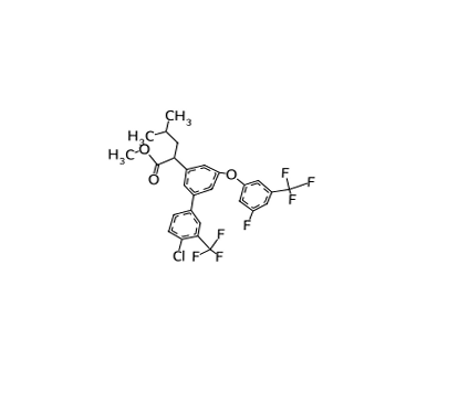 COC(=O)C(CC(C)C)c1cc(Oc2cc(F)cc(C(F)(F)F)c2)cc(-c2ccc(Cl)c(C(F)(F)F)c2)c1